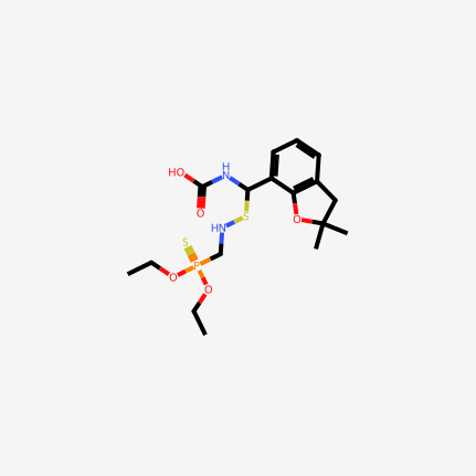 CCOP(=S)(CNSC(NC(=O)O)c1cccc2c1OC(C)(C)C2)OCC